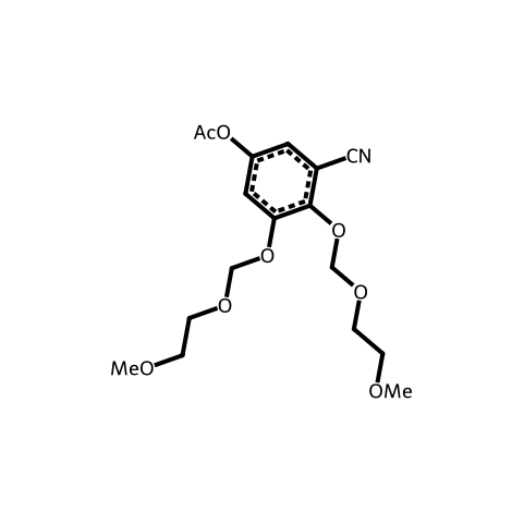 COCCOCOc1cc(OC(C)=O)cc(C#N)c1OCOCCOC